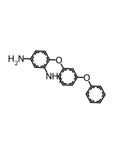 Nc1ccc(Oc2cccc(Oc3ccccc3)c2)c(N)c1